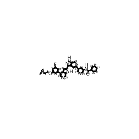 CN(C)CCOc1cc(F)cc(-c2cncc3[nH]c(-c4n[nH]c5cnc(-c6cncc(NC(=O)c7ccccc7)c6)cc45)cc23)c1